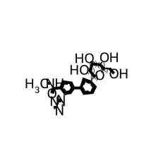 CNC(=O)c1ccc(-c2cccc([C@H]3O[C@H](CO)[C@@H](O)[C@H](O)[C@H]3O)c2)cc1-n1cncn1